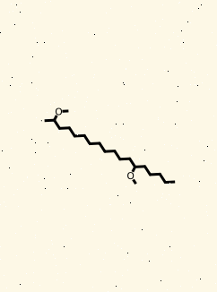 [CH2]C(CCCCCCCCCCC(CCCCC)OC)OC